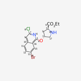 CCOC(=O)[C@@H]1C[C@@H](Oc2nc(Cl)cc3ccc(Br)cc23)CN1